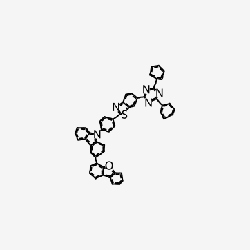 c1ccc(-c2nc(-c3ccccc3)nc(-c3ccc4nc(-c5ccc(-n6c7ccccc7c7cc(-c8cccc9c8oc8ccccc89)ccc76)cc5)sc4c3)n2)cc1